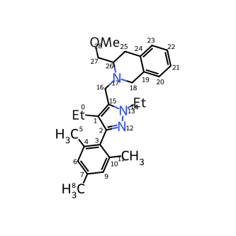 CCc1c(-c2c(C)cc(C)cc2C)nn(CC)c1CN1Cc2ccccc2CC1COC